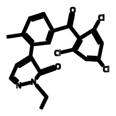 CCn1nccc(-c2cc(C(=O)c3c(Cl)cc(Cl)cc3Cl)ccc2C)c1=O